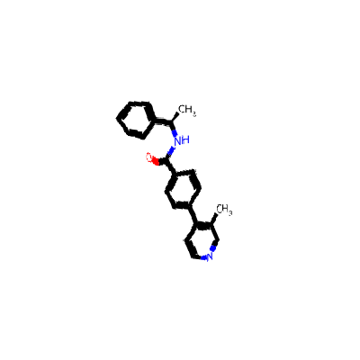 Cc1cnccc1-c1ccc(C(=O)N[C@H](C)c2ccccc2)cc1